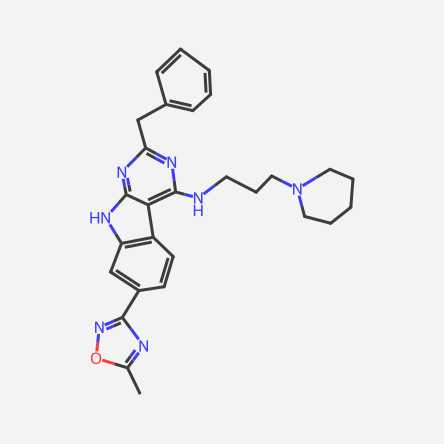 Cc1nc(-c2ccc3c(c2)[nH]c2nc(Cc4ccccc4)nc(NCCCN4CCCCC4)c23)no1